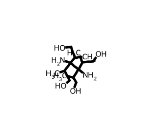 CC(CO)C(N)(C(C)CO)C(N)(C(C)CO)C(C)CO